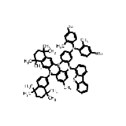 Cc1cc2c3c(c1)N(c1cccc4c1sc1ccccc14)c1cc(N(c4ccc(C(C)(C)C)cc4C)c4ccc(C(C)(C)C)cc4C)ccc1B3c1cc3c(cc1N2c1ccc2c(c1)C(C)(C)CCC2(C)C)C(C)(C)CCC3(C)C